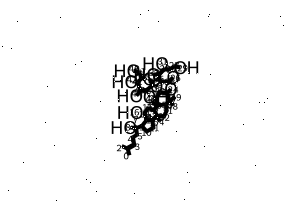 CC(C)=CCC[C@@](C)(O)C1CC[C@]2(C)C1C(O)CC1C3(C)CCC(O[C@@H]4OC(CO)[C@@H](O)C(O)[C@@H]4O[C@@H]4OC(CO)[C@@H](O)C(O)[C@@H]4O)C(C)(C)C3CCC12C